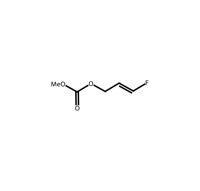 COC(=O)OCC=CF